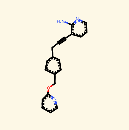 Nc1ncccc1C#CCc1ccc(COc2ccccn2)cc1